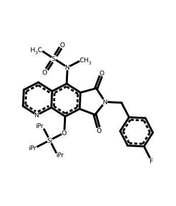 CC(C)[Si](Oc1c2c(c(N(C)S(C)(=O)=O)c3cccnc13)C(=O)N(Cc1ccc(F)cc1)C2=O)(C(C)C)C(C)C